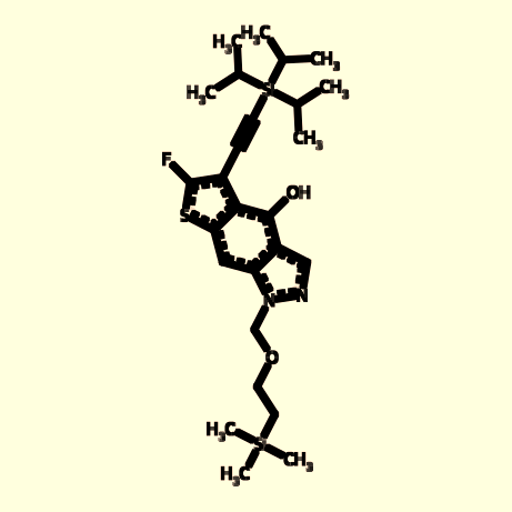 CC(C)[Si](C#Cc1c(F)sc2cc3c(cnn3COCC[Si](C)(C)C)c(O)c12)(C(C)C)C(C)C